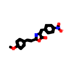 COc1ccc(/C=C/C2=NC(=Cc3ccc([N+](=O)[O-])cc3)C(=O)O2)cc1